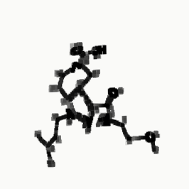 COCCNC(=O)c1nn(CCC(C)C)c2c1CN(C(=O)O)CC2